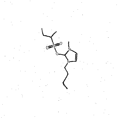 CCCCN1C=CN(C)C1OS(=O)(=O)C(C)CC